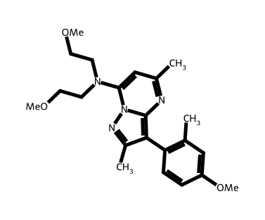 COCCN(CCOC)c1cc(C)nc2c(-c3ccc(OC)cc3C)c(C)nn12